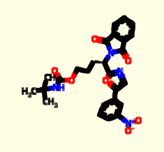 CC(C)(C)NC(=O)OCCC[C@@H](c1ncc(-c2cccc([N+](=O)[O-])c2)o1)N1C(=O)c2ccccc2C1=O